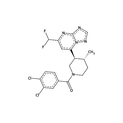 C[C@@H]1CCN(C(=O)c2ccc(Cl)c(Cl)c2)C[C@H]1c1cc(C(F)F)nc2ncnn12